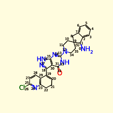 N[C@@H]1c2ccccc2CC12CCN(c1nc3[nH]nc(C4=CCCc5nc(Cl)ccc54)c3c(=O)[nH]1)CC2